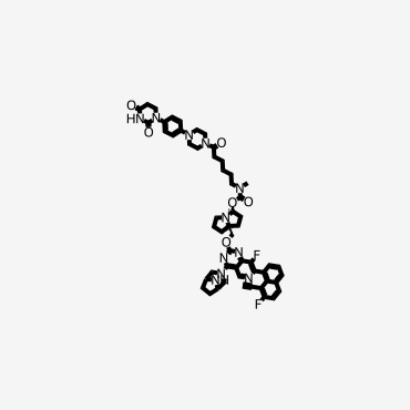 C#Cc1c(F)ccc2cccc(-c3ncc4c(N5CC6CCC(C5)N6)nc(OC[C@@]56CCCN5[C@@H](OC(=O)N(C)CCCCCC(=O)N5CCN(c7ccc(N8CCC(=O)NC8=O)cc7)CC5)CC6)nc4c3F)c12